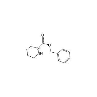 O=C(OCc1ccccc1)[SH]1CCCCN1